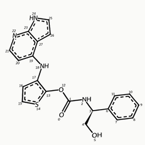 O=C(N[C@H](CO)c1ccccc1)Oc1sccc1Nc1ccnc2[nH]ccc12